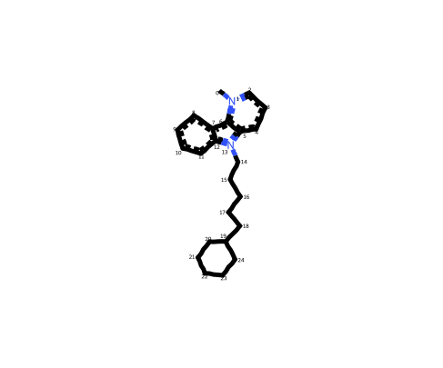 C[n+]1cccc2c1c1ccccc1n2CCCCCC1CCCCC1